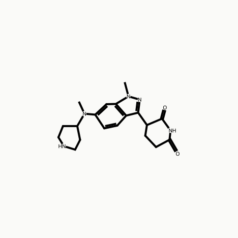 CN(c1ccc2c(C3CCC(=O)NC3=O)nn(C)c2c1)C1CCNCC1